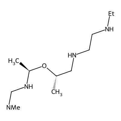 CCNCCNC[C@H](C)O[C@H](C)NCNC